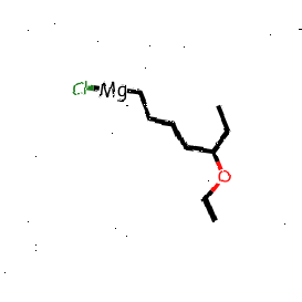 CCOC(CC)CCC[CH2][Mg][Cl]